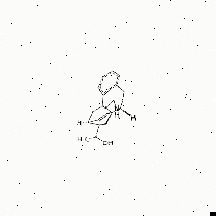 CC(O)C1C[C@@]23C=C[C@@H]1C[C@@]21CCN[C@@H]3Cc2ccccc21